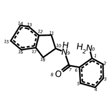 Nc1ccccc1C(=O)NC1Cc2ccccc2C1